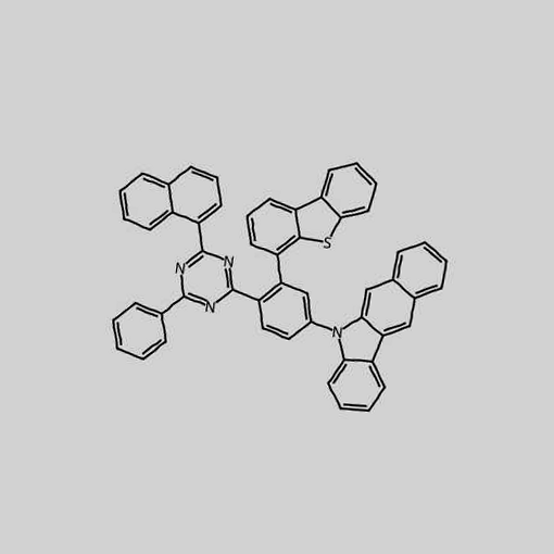 c1ccc(-c2nc(-c3ccc(-n4c5ccccc5c5cc6ccccc6cc54)cc3-c3cccc4c3sc3ccccc34)nc(-c3cccc4ccccc34)n2)cc1